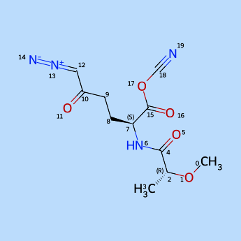 CO[C@H](C)C(=O)N[C@@H](CCC(=O)C=[N+]=[N-])C(=O)OC#N